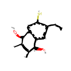 C=Cc1cc2c(cc1S)C(=O)C(C)=C(C)C2=O